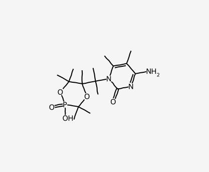 Cc1c(N)nc(=O)n(C(C)(C)C2(C)OC(C)(C)P(=O)(O)OC2(C)C)c1C